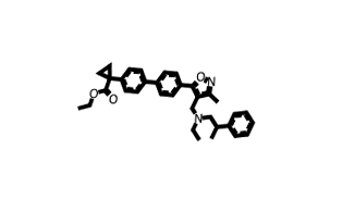 CCOC(=O)C1(c2ccc(-c3ccc(-c4onc(C)c4CN(CC)CC(C)c4ccccc4)cc3)cc2)CC1